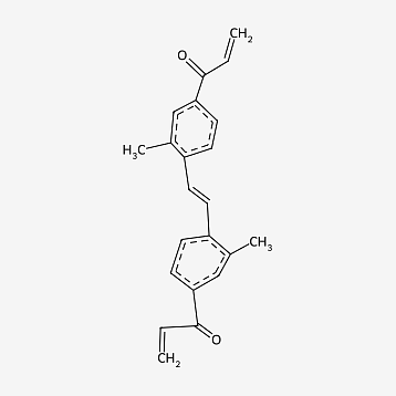 C=CC(=O)c1ccc(/C=C/c2ccc(C(=O)C=C)cc2C)c(C)c1